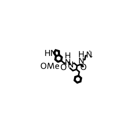 COc1cc2[nH]ccc2cc1C(=O)NN1CCC(Cc2ccccc2)C(C(=O)NCCN(C)C)C1